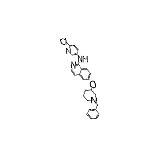 Clc1ccc(Nc2nccc3cc(OC4CCCN(Cc5ccccc5)C4)ccc23)cn1